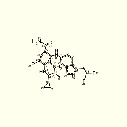 C[C@H](N)[C@H](Nc1nc(Nc2ccc3c(cnn3CC(F)F)c2)c(C(N)=O)cc1F)C1CC1